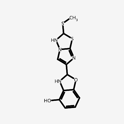 CSC1Nn2cc(C3Nc4c(O)cccc4O3)nc2S1